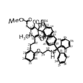 COC(=O)CC1=C(C(=O)O)C(C)(c2c(Cl)cccc2Cl)C(C(=O)O)=C(CCc2ccccc2OCCNC(c2ccccc2)(c2ccccc2)c2ccccc2)N1C